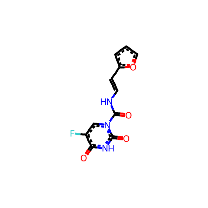 O=C(N/C=C/c1ccco1)n1cc(F)c(=O)[nH]c1=O